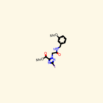 COC(=O)c1nc(I)nn1CC(=O)NCc1cccc(OC)c1